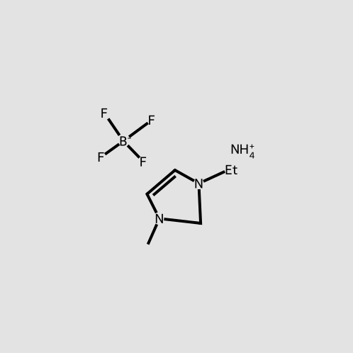 CCN1C=CN(C)C1.F[B-](F)(F)F.[NH4+]